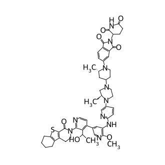 COc1ncc(-c2ccnc(N3CCc4c(sc5c4CCCC5)C3=O)c2C(C)O)cc1Nc1ccc(N2CCN(C3CCN(c4ccc5c(c4)C(=O)N(C4CCC(=O)NC4=O)C5=O)[C@@H](C)C3)C[C@@H]2C)cn1